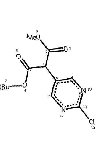 COC(=O)C(C(=O)OC(C)(C)C)c1cnc(Cl)nc1